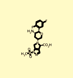 CS(=O)(=O)n1ncc2c1CN([C@H]1CO[C@H](c3cc(F)ccc3F)[C@@H](N)C1)[C@H]2C(=O)O